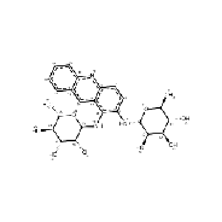 C[C@@H]1O[C@@H](Nc2ccc3nc4ccccc4cc3c2N[C@@H]2O[C@@H](C)[C@H](O)[C@@H](O)[C@H]2O)[C@H](O)[C@H](O)[C@H]1O